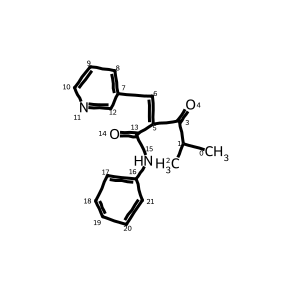 CC(C)C(=O)C(=Cc1cccnc1)C(=O)Nc1ccccc1